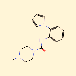 CN1CCN(C(=O)Nc2ccccc2-n2cccc2)CC1